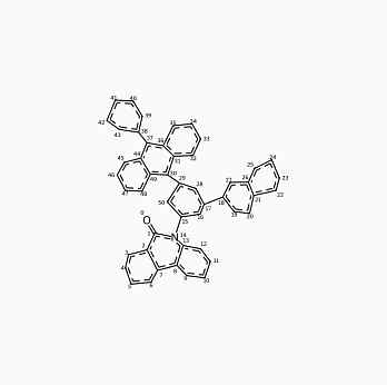 O=c1c2ccccc2c2ccccc2n1-c1cc(-c2ccc3ccccc3c2)cc(-c2c3ccccc3c(-c3ccccc3)c3ccccc23)c1